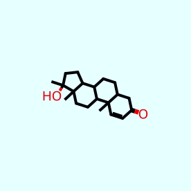 CC12C=CC(=O)CC1CCC1C2CCC2(C)C1CCC2(C)O